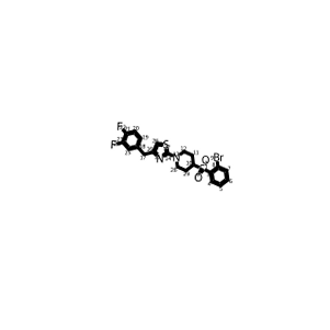 O=S(=O)(c1ccccc1Br)C1CCN(c2nc(Cc3ccc(F)c(F)c3)cs2)CC1